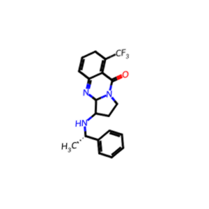 C[C@H](NC1CCN2C(=O)C3=C(C(F)(F)F)CC=CC3=NC12)c1ccccc1